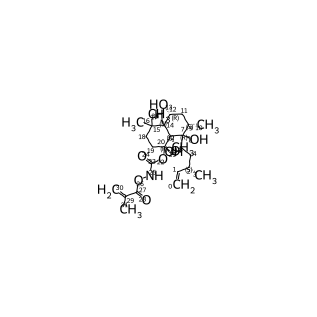 C=C[C@@H](C)CC(=O)[C@@]1(O)[C@@H](C)C[C@@H](O)[C@H]2C(C)(C)CC[C@@](O)(OC(=O)NOC(=O)C(=C)C)[C@@]21C